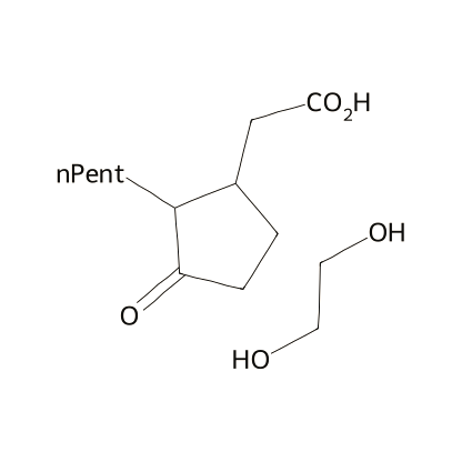 CCCCCC1C(=O)CCC1CC(=O)O.OCCO